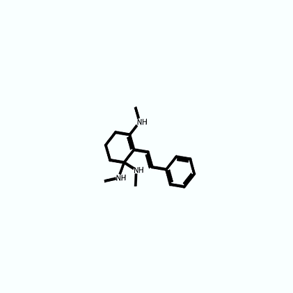 CNC1=C(C=Cc2ccccc2)C(NC)(NC)CCC1